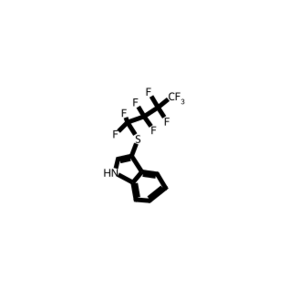 FC(F)(F)C(F)(F)C(F)(F)C(F)(F)Sc1c[nH]c2ccccc12